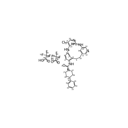 O=C(Nc1ccc2cc1CCc1cncc(c1)Nc1ncc(Cl)c(n1)N2)N1CCC(c2ccccc2)CC1.O=C(O)C(F)(F)F.O=C(O)C(F)(F)F